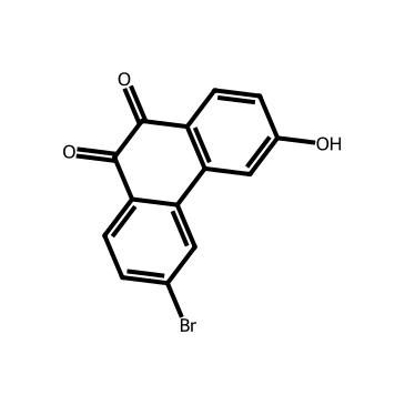 O=C1C(=O)c2ccc(Br)cc2-c2cc(O)ccc21